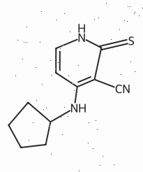 N#Cc1c(NC2CCCC2)cc[nH]c1=S